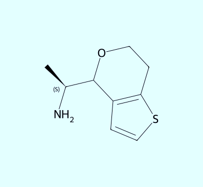 C[C@H](N)C1OCCc2sccc21